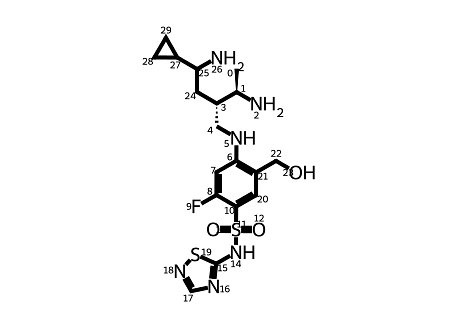 C[C@@H](N)[C@H](CNc1cc(F)c(S(=O)(=O)Nc2ncns2)cc1CO)CC(N)C1CC1